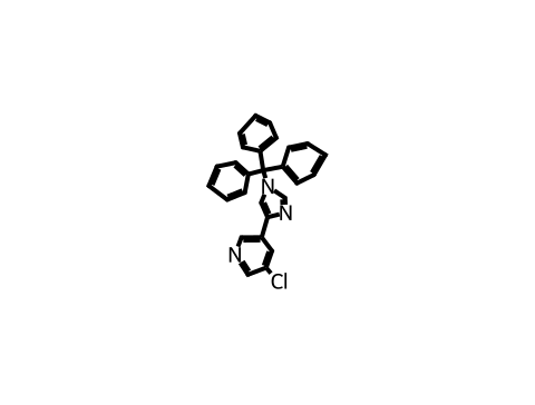 Clc1cncc(-c2cn(C(c3ccccc3)(c3ccccc3)c3ccccc3)cn2)c1